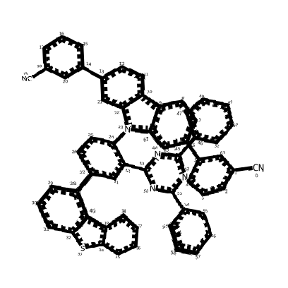 N#Cc1cccc(-c2ccc3c4ccc(-c5cccc(C#N)c5)cc4n(-c4ccc(-c5cccc6sc7ccccc7c56)cc4-c4nc(-c5ccccc5)nc(-c5ccccc5)n4)c3c2)c1